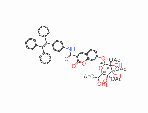 CC(=O)OC(O)[C@H]1O[C@H](Oc2ccc3cc(C(=O)Nc4ccc(C(=C(c5ccccc5)c5ccccc5)c5ccccc5)cc4)c(=O)oc3c2)[C@@](O)(OC(C)=O)[C@](O)(OC(C)=O)[C@]1(O)OC(C)=O